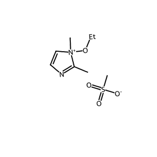 CCO[N+]1(C)C=CN=C1C.CS(=O)(=O)[O-]